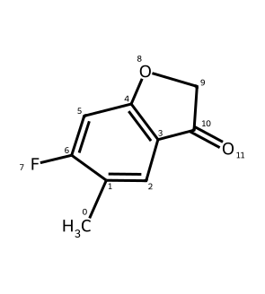 Cc1cc2c(cc1F)OCC2=O